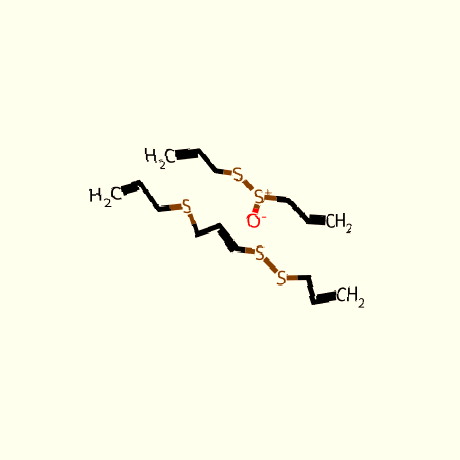 C=CCSCC=CSSCC=C.C=CCS[S+]([O-])CC=C